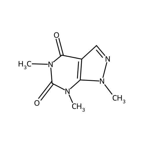 Cn1c(=O)c2cnn(C)c2n(C)c1=O